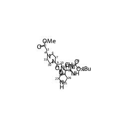 COC(=O)CCN1CCN(C2C[N+](C)(C(C(=N)NC(=O)OC(C)(C)C)C3CCNCC3)C(=O)O2)CC1